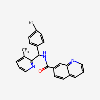 CCc1ccc(C(NC(=O)c2ccc3cccnc3c2)c2ncccc2C(F)(F)F)cc1